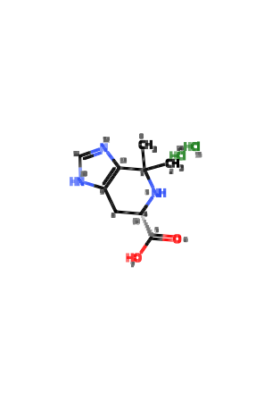 CC1(C)N[C@H](C(=O)O)Cc2[nH]cnc21.Cl.Cl